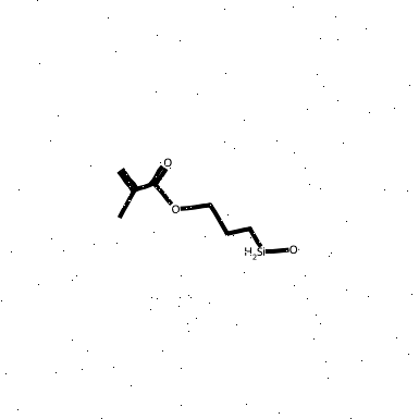 C=C(C)C(=O)OCCC[SiH2][O]